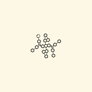 C1=CCCC(c2ccc(N(c3ccc(-c4ccccc4)cc3)c3ccc4c(-c5ccc6c7c(cccc57)-c5ccccc5-6)c5cc(N(c6ccc(-c7ccccc7)cc6)c6ccc(-c7ccccc7)cc6)ccc5c(-c5ccc6c7c(cccc57)-c5ccccc5-6)c4c3)cc2)=C1